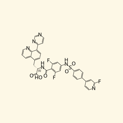 O=C(N[C@@H](Cc1ccc(-c2ccncn2)c2ncccc12)C(=O)O)c1c(F)cc(NS(=O)(=O)c2ccc(-c3ccnc(F)c3)cc2)cc1F